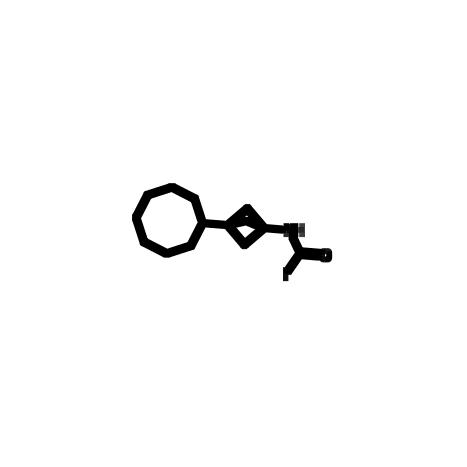 O=C(I)NC12CC(C3CCCCCCC3)(C1)C2